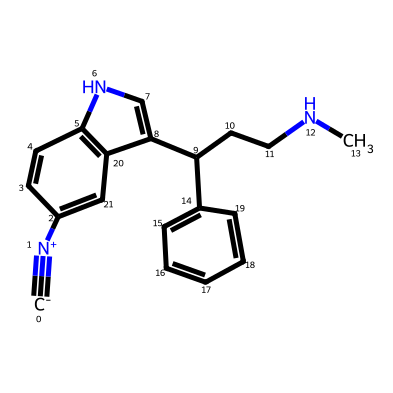 [C-]#[N+]c1ccc2[nH]cc(C(CCNC)c3ccccc3)c2c1